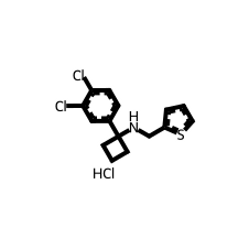 Cl.Clc1ccc(C2(NCc3cccs3)CCC2)cc1Cl